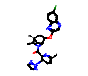 Cc1ccc(-n2nccn2)c(C(=O)N2C3C[C@H](CC3Oc3cnc4cc(F)ccc4n3)C2C)n1